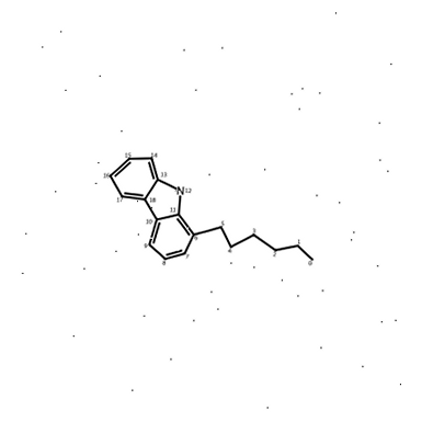 CCCCCCc1cccc2c1[N]c1ccccc1-2